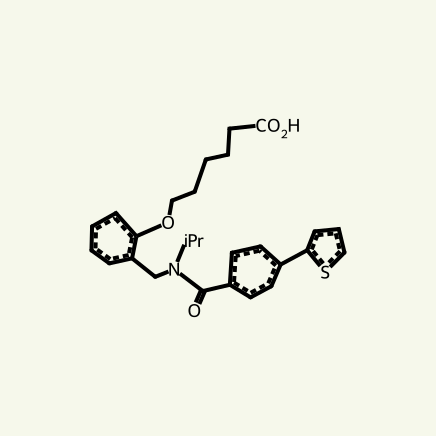 CC(C)N(Cc1ccccc1OCCCCCC(=O)O)C(=O)c1ccc(-c2cccs2)cc1